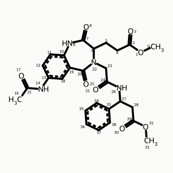 COC(=O)CCC1C(=O)Nc2ccc(NC(C)=O)cc2C(=O)N1CC(=O)NC(CC(=O)OC)c1ccccc1